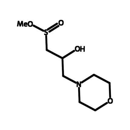 COS(=O)CC(O)CN1CCOCC1